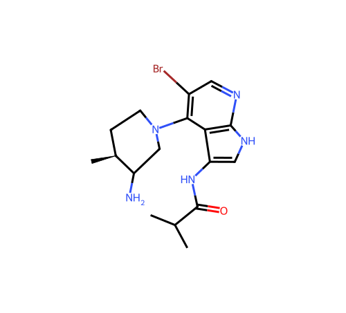 CC(C)C(=O)Nc1c[nH]c2ncc(Br)c(N3CC[C@H](C)C(N)C3)c12